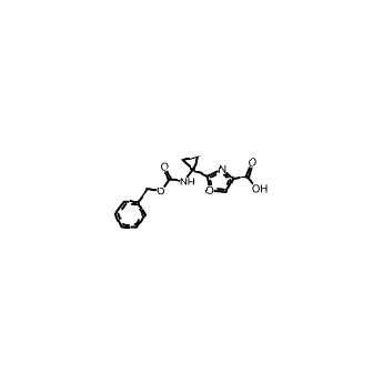 O=C(NC1(c2nc(C(=O)O)co2)CC1)OCc1ccccc1